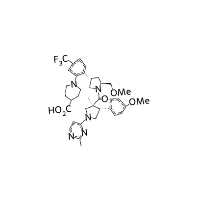 COC[C@@H]1C[C@@H](c2ccc(C(F)(F)F)cc2N2CCC(C(=O)O)CC2)CN1C(=O)[C@]1(C)CN(c2ccnc(C)n2)C[C@H]1c1ccc(OC)cc1